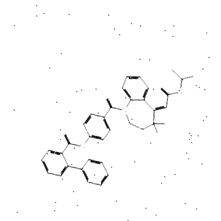 CC(C)NC(=O)/C=C1\c2ccccc2N(C(=O)c2ccc(NC(=O)c3ccccc3-c3ccccc3)cc2)CCC1(F)F